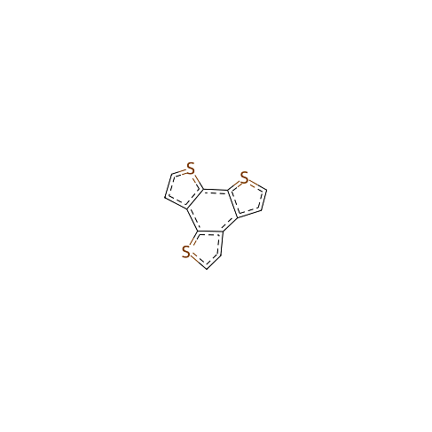 c1cc2c3ccsc3c3sccc3c2s1